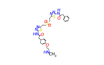 CNCCOC1=CCC(CC(=O)Nc2nnc(CCS(=O)(=O)CCc3nnc(NC(=O)Cc4ccccc4)s3)s2)C=C1